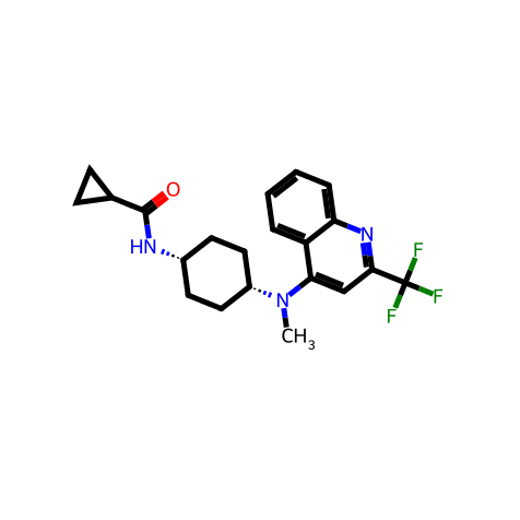 CN(c1cc(C(F)(F)F)nc2ccccc12)[C@H]1CC[C@@H](NC(=O)C2CC2)CC1